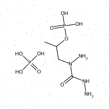 CC(CN(N)C(=O)NN)OP(=O)(O)O.O=P(O)(O)O